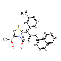 CCC(=O)C1CSc2c(-c3cccc(C(F)(F)F)c3)c(Cc3cccc4ccccc34)cc(=O)n21